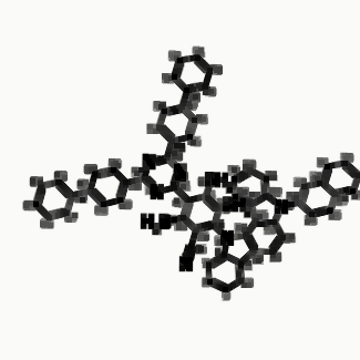 Bc1c(B)c(-n2c3ccccc3c3ccc4c(c5ccccc5n4-c4ccc5ccccc5c4)c32)c(C#N)c(B)c1-c1nc(-c2ccc(-c3ccccc3)cc2)nc(-c2ccc(-c3ccccc3)cc2)n1